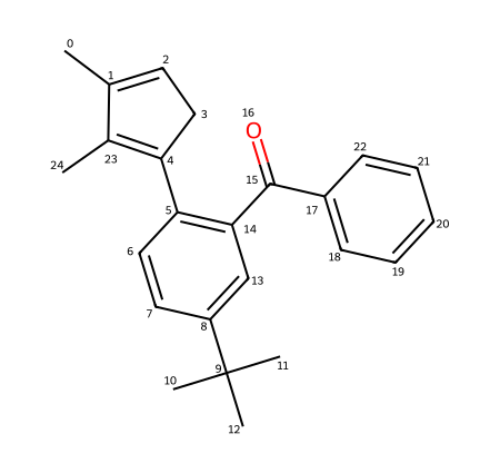 CC1=CCC(c2ccc(C(C)(C)C)cc2C(=O)c2ccccc2)=C1C